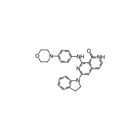 O=c1[nH]ccc2cc(N3CCc4ccccc43)nc(Nc3ccc(N4CCOCC4)cc3)c12